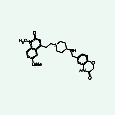 COc1ccc2c(c1)c(CCN1CCC(NCc3ccc4c(c3)NC(=O)CO4)CC1)cc(=O)n2C